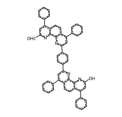 O=Cc1cc(-c2ccccc2)c2ccc3c(-c4ccccc4)cc(-c4ccc(-c5cc(-c6ccccc6)c6ccc7c(-c8ccccc8)cc(O)nc7c6n5)cc4)nc3c2n1